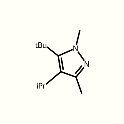 Cc1nn(C)c(C(C)(C)C)c1C(C)C